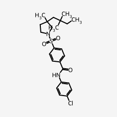 CCC(C)(C)CC1(C)CCN(S(=O)(=O)c2ccc(C(=O)Nc3ccc(Cl)cc3)cc2)C1